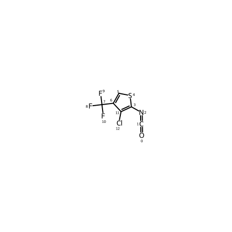 O=C=Nc1scc(C(F)(F)F)c1Cl